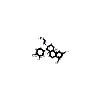 CCC/C=C/[C@@H]1CC[C@H]2c3cc(F)cc(F)c3CC[C@@H]2[C@H]1c1ccc(Cl)c(F)c1